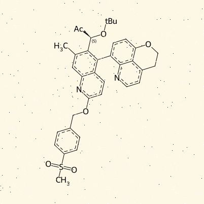 CC(=O)[C@@H](OC(C)(C)C)c1c(C)cc2nc(OCc3ccc(S(C)(=O)=O)cc3)ccc2c1-c1ccc2c3c(ccnc13)CCO2